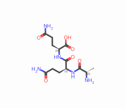 C[C@H](N)C(=O)N[C@@H](CCC(N)=O)C(=O)N[C@@H](CCC(N)=O)C(=O)O